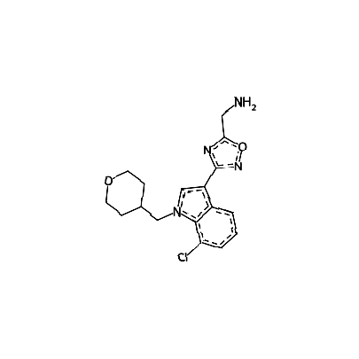 NCc1nc(-c2cn(CC3CCOCC3)c3c(Cl)cccc23)no1